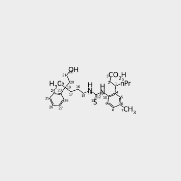 CCCC(CC(=O)O)c1cc(C)ccc1NC(=S)NCCCC(C)(CCO)c1ccccc1